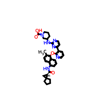 Cc1ccc2c(NC(=O)[C@@H]3CC34CCCC4)cccc2c1Oc1ncccc1-c1ccnc(NC2CCCN(C(=O)O)C2)n1